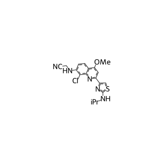 COc1cc(-c2csc(NC(C)C)n2)nc2c(Cl)c(NCC#N)ccc12